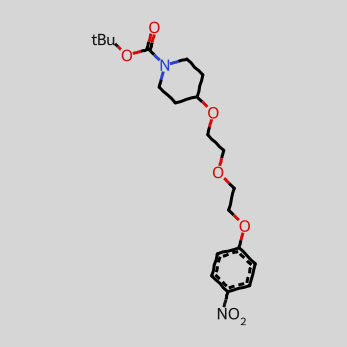 CC(C)(C)OC(=O)N1CCC(OCCOCCOc2ccc([N+](=O)[O-])cc2)CC1